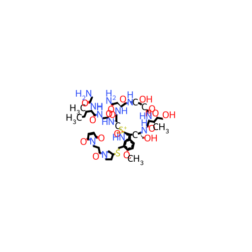 CC[C@H](C)[C@H](NC(=O)CN)C(=O)NCC(=O)N[C@H]1C[S+]([O-])c2[nH]c3c(CSC4CCN(C(=O)CCN5C(=O)C=CC5=O)C4)c(OC)ccc3c2C[C@@H](CO)NC(=O)[C@H]([C@@H](C)[C@@H](O)CO)NC(=O)C[C@@H](O)CNC(=O)[C@H](CC(N)=O)NC1=O